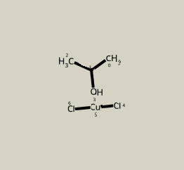 CC(C)O.[Cl][Cu][Cl]